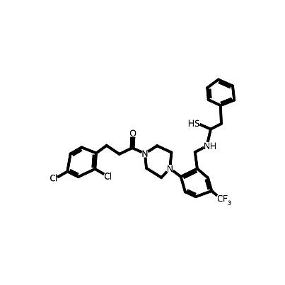 O=C(CCc1ccc(Cl)cc1Cl)N1CCN(c2ccc(C(F)(F)F)cc2CNC(S)Cc2ccccc2)CC1